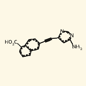 Nc1cc(C#Cc2ccc3c(C(=O)O)cccc3c2)ncn1